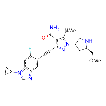 CNc1c(C(N)=O)c(C#Cc2cc3ncn(C4CC4)c3cc2F)nn1C1CN[C@@H](COC)C1